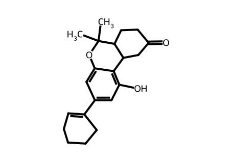 CC1(C)Oc2cc(C3=CCCCC3)cc(O)c2C2CC(=O)CCC21